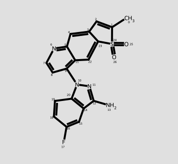 CC1=Cc2cc3nccc(-n4nc(N)c5cc(F)ccc54)c3cc2S1(=O)=O